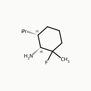 CC(C)[C@@H]1CCCC(C)(F)[C@@H]1N